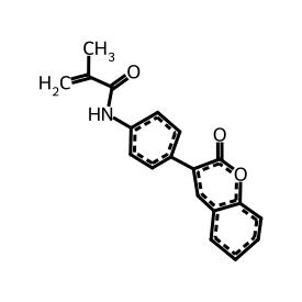 C=C(C)C(=O)Nc1ccc(-c2cc3ccccc3oc2=O)cc1